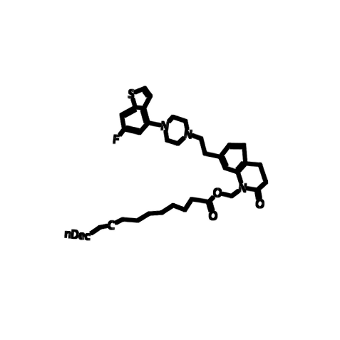 CCCCCCCCCCCCCCCCCCCC(=O)OCN1C(=O)CCc2ccc(CCN3CCN(c4cc(F)cc5sccc45)CC3)cc21